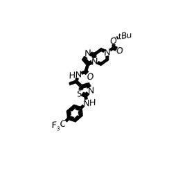 CC(NC(=O)c1cnc2n1CCN(C(=O)OC(C)(C)C)C2)c1cnc(Nc2ccc(C(F)(F)F)cc2)s1